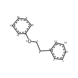 [c]1ccc(CCOc2ccccc2)cc1